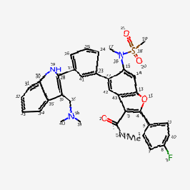 CNC(=O)c1c(-c2ccc(F)cc2)oc2cc(N(C)S(C)(=O)=O)c(-c3cccc(-c4[nH]c5ccccc5c4CN(C)C)c3)cc12